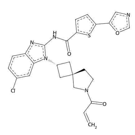 C=CC(=O)N1CC[C@]2(C1)C[C@@H](n1c(NC(=O)c3ccc(-c4cnco4)s3)nc3ccc(Cl)cc31)C2